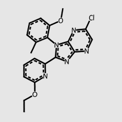 CCOc1cccc(-c2nc3ncc(Cl)nc3n2-c2c(C)cccc2OC)n1